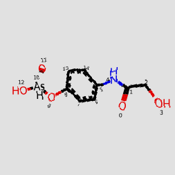 O=C(CO)Nc1ccc(O[AsH](=O)O)cc1